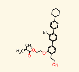 C=C(C)C(=O)OCCOc1cc(-c2ccc(-c3ccc(C4CCCCC4)cc3)c(CC)c2)ccc1CCO